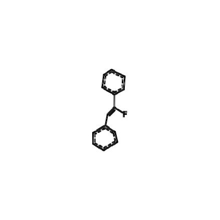 FC(=Cc1ccccc1)c1ccccc1